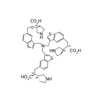 O=C(O)[C@@H](Cc1ccc2scc(CN(Cc3csc4ccc(C[C@H](C(=O)O)[C@H]5CCNC5)cc34)Cc3csc4ccc(C[C@H](C(=O)O)[C@H]5CCNC5)cc34)c2c1)[C@H]1CCNC1